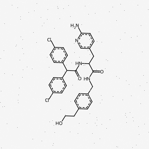 Nc1ccc(CC(NC(=O)C(c2ccc(Cl)cc2)c2ccc(Cl)cc2)C(=O)NCc2ccc(CCO)cc2)cn1